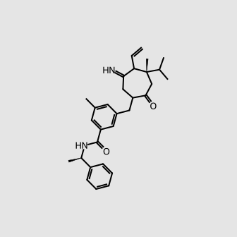 C=CC1C(=N)CC(Cc2cc(C)cc(C(=O)N[C@H](C)c3ccccc3)c2)C(=O)C[C@@]1(C)C(C)C